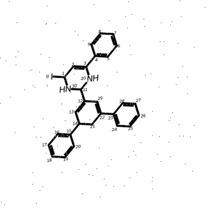 IC1C=C(c2ccccc2)NC(C2=CC(c3ccccc3)CC(c3ccccc3)=C2)N1